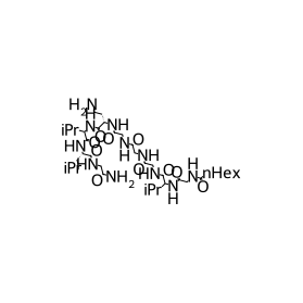 CCCCCCC(=O)NCC(=O)NC(C(=O)NCC(=O)NCC(=O)NCC(=O)N[C@@H](CCN)C(=O)NC(C(=O)N[C@@H](CC(C)C)C(=O)NCC(N)=O)C(C)C)C(C)C